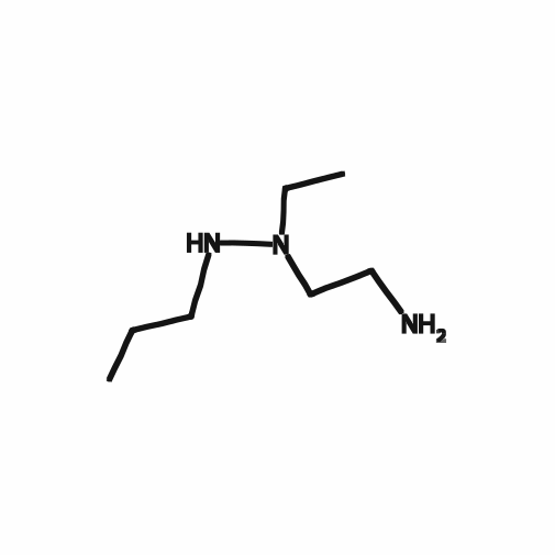 CCCNN(CC)CCN